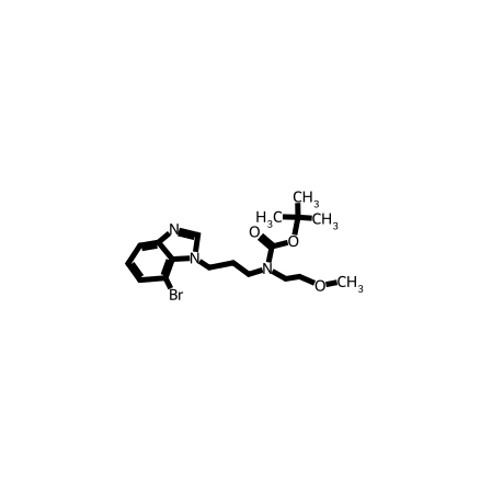 COCCN(CCCn1cnc2cccc(Br)c21)C(=O)OC(C)(C)C